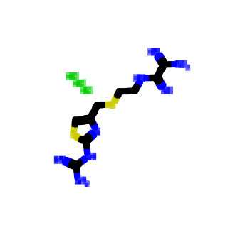 Cl.Cl.Cl.N=C(N)Nc1nc(CSCCNC(=N)C(=N)N)cs1